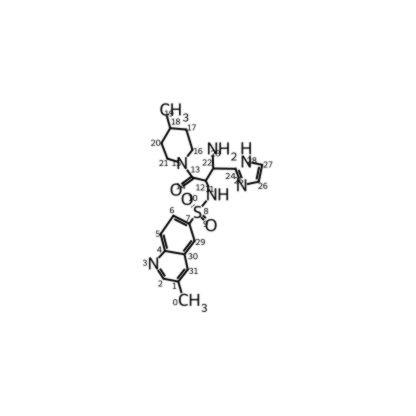 Cc1cnc2ccc(S(=O)(=O)NC(C(=O)N3CCC(C)CC3)C(N)c3ncc[nH]3)cc2c1